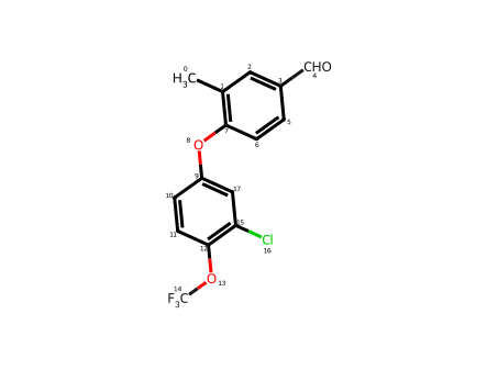 Cc1cc(C=O)ccc1Oc1ccc(OC(F)(F)F)c(Cl)c1